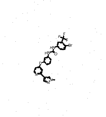 Cn1cc(-c2cc(Oc3cccc(NC(=O)Nc4ccc(Br)c(C(F)(F)F)c4)c3)ccn2)cn1